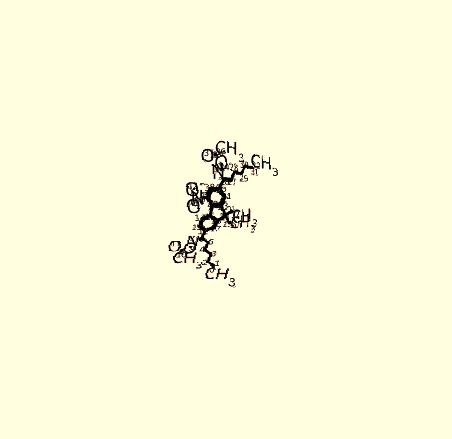 CCCCCC/C(=N\OC(C)=O)c1ccc2c(c1)C(CC)(CC)c1cc(/C(CCCCCC)=N/OC(C)=O)cc([N+](=O)[O-])c1-2